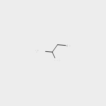 COC(CC(C)C)OC(C)=O